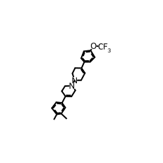 Cc1ccc(C2=CCN(N3CC=C(c4ccc(OC(F)(F)F)cc4)CC3)CC2)cc1C